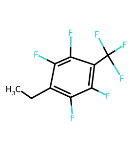 CCc1c(F)c(F)c(C(F)(F)F)c(F)c1F